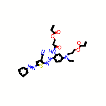 C=CC(=O)OCCCN(CC)c1ccc(/N=N/c2sc(/N=N/c3ccccc3)cc2C#N)c(NC(=O)CCOC(=O)C=C)c1